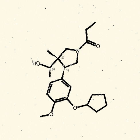 CCC(=O)N1C[C@@H](c2ccc(OC)c(OC3CCCC3)c2)[C@](C)([C@@H](C)O)C1